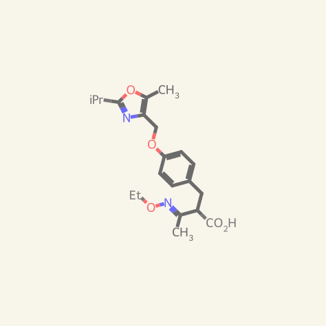 CCON=C(C)C(Cc1ccc(OCc2nc(C(C)C)oc2C)cc1)C(=O)O